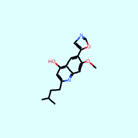 COc1cc2nc(CCC(C)C)cc(O)c2cc1-c1cnco1